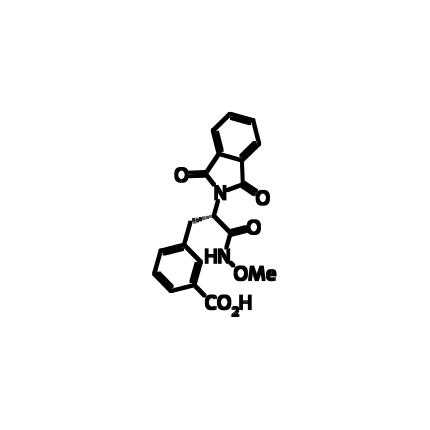 CONC(=O)[C@H](Cc1cccc(C(=O)O)c1)N1C(=O)c2ccccc2C1=O